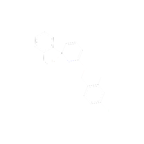 N#Cc1ccccc1C1(Br)C=CC=C(OCc2ccc(Cl)cc2C(F)(F)F)N1